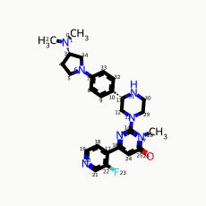 CN(C)[C@H]1CCN(c2ccc([C@H]3CN(c4nc(-c5ccncc5F)cc(=O)n4C)CCN3)cc2)C1